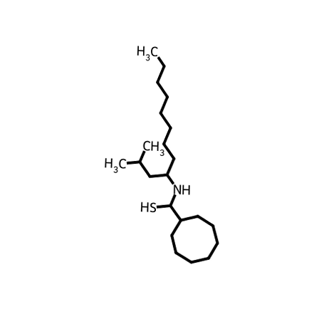 CCCCCCCCC(CC(C)C)NC(S)C1CCCCCCC1